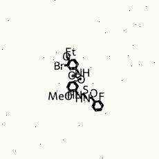 CCOc1ccc(NS(=O)(=O)c2ccc(OC)c(NC(=S)NC(=O)c3ccccc3F)c2)cc1Br